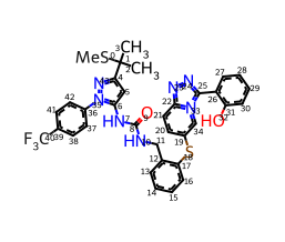 CSC(C)(C)c1cc(NC(=O)NCc2ccccc2Sc2ccc3nnc(-c4ccccc4O)n3c2)n(-c2ccc(C(F)(F)F)cc2)n1